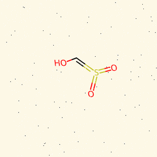 O=S(=O)=CO